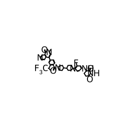 CC(c1cc(-c2cn(C)c(=O)c3cnccc23)ccc1C(=O)N1CCC(C2CCN(c3ccc(NC4CCC(=O)NC4=O)cc3F)CC2)CC1)C(F)(F)F